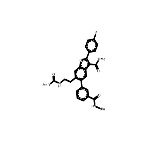 CCC(C)NC(=O)c1cccc(-c2cc3c(C(=O)NC)c(-c4ccc(F)cc4)oc3cc2CCNC(=O)OC)c1